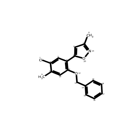 Cc1cc(-c2cc(Cl)c(C)cc2OCc2ccccc2)on1